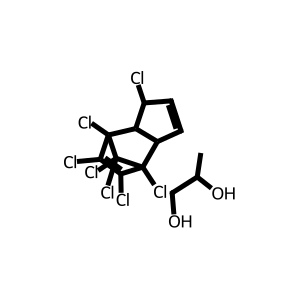 CC(O)CO.ClC1=C(Cl)C2(Cl)C3C(Cl)C=CC3C1(Cl)C2(Cl)Cl